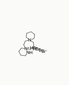 Br.Br.C1CC[N+]2(CC1)CCC[N+]1(CCCCN1)CC2.[Br-].[Br-]